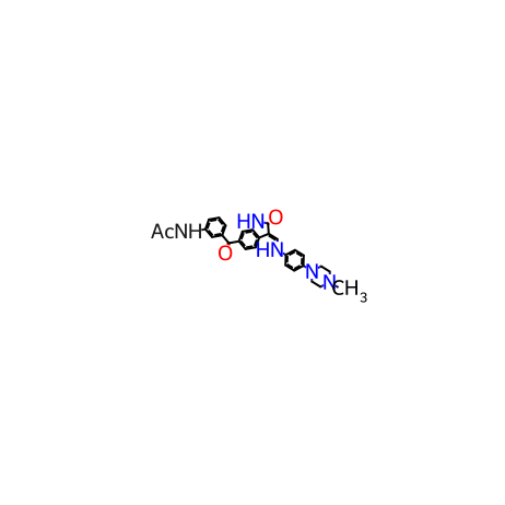 CC(=O)Nc1cccc(C(=O)c2ccc3c(c2)NC(=O)/C3=C/Nc2ccc(N3CCN(C)CC3)cc2)c1